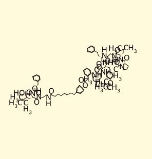 CC(=O)N1CCC[C@H]1C(=O)N[C@@H](CC(C)C)C(=O)NCC(=O)N[C@@H](CCc1ccccc1)C(=O)N[C@@H](Cc1ccc(OC(C)(C)C)cc1)C(=O)N[C@@H](CC(C)C)C(=O)Nc1ccccc1CC(=O)Oc1ccc(CCCCCCCC(=O)NCCNC(=O)[C@H](CC(C(=O)O)C(C)(C)C)NC(=O)OCc2ccccc2)cc1